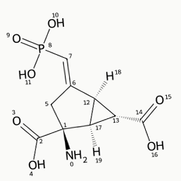 N[C@@]1(C(=O)O)CC(=CP(=O)(O)O)[C@H]2[C@H](C(=O)O)[C@H]21